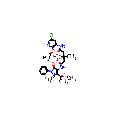 CCOc1ncc(Cl)cc1NC(=O)CC(C)(C)CC(=O)Nc1c(C(C)OC)n(C)n(-c2ccccc2)c1=O